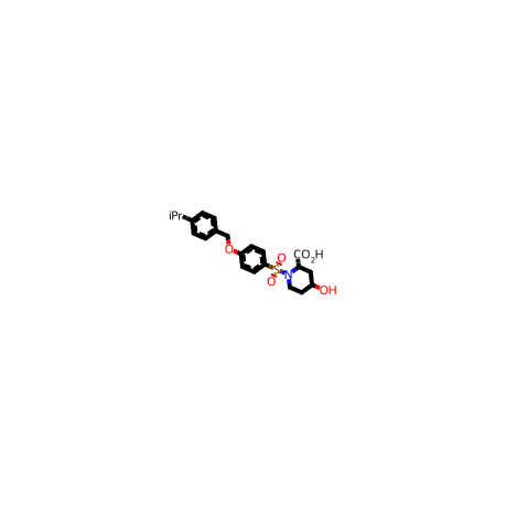 CC(C)c1ccc(COc2ccc(S(=O)(=O)N3CCC(O)CC3C(=O)O)cc2)cc1